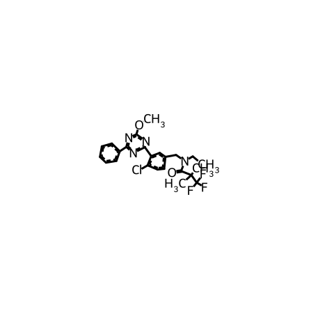 CCN(Cc1ccc(Cl)c(-c2nc(OC)nc(-c3ccccc3)n2)c1)C(=O)C(C)(C)C(F)(F)F